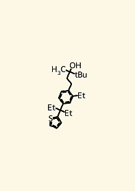 CCc1cc(C(CC)(CC)c2cccs2)ccc1CCC(C)(O)C(C)(C)C